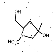 CC1(O)CC(CO)N(C(=O)O)C1